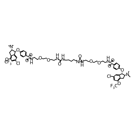 CN(C)[C@H]1Cc2c(OC(F)(F)F)cc(Cl)cc2[C@@H]1Oc1ccc(S(=O)(=O)NCCOCCOCCNC(=O)NCCCCNC(=O)NCCOCCOCCNS(=O)(=O)c2ccc(O[C@H]3c4cc(Cl)cc(OC(F)(F)F)c4C[C@@H]3N(C)C)cc2)cc1